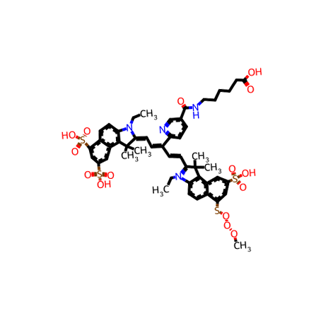 CCN1/C(=C/C=C(/C=C/C2=[N+](CC)c3ccc4c(SOOOC)cc(S(=O)(=O)O)cc4c3C2(C)C)c2ccc(C(=O)NCCCCCC(=O)O)cn2)C(C)(C)c2c1ccc1c(S(=O)(=O)O)cc(S(=O)(=O)O)cc21